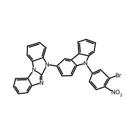 O=[N+]([O-])c1ccc(-n2c3ccccc3c3cc(-n4c5ccccc5n5c6ccccc6nc45)ccc32)cc1Br